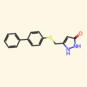 O=c1cc(CSc2ccc(-c3ccccc3)cc2)[nH][nH]1